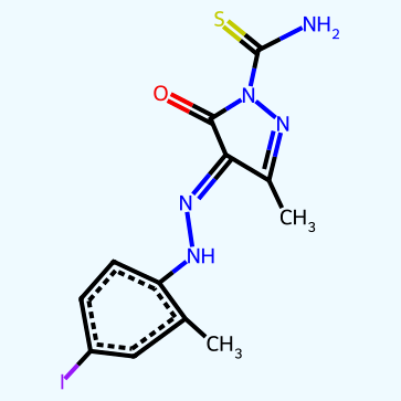 CC1=NN(C(N)=S)C(=O)/C1=N/Nc1ccc(I)cc1C